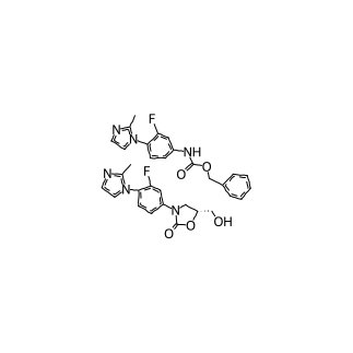 Cc1nccn1-c1ccc(N2C[C@H](CO)OC2=O)cc1F.Cc1nccn1-c1ccc(NC(=O)OCc2ccccc2)cc1F